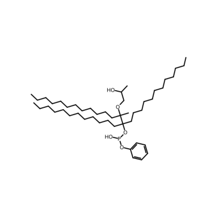 CCCCCCCCCCCCC(C)(OCC(C)O)C(CCCCCCCCCCCC)(CCCCCCCCCCCC)OP(O)Oc1ccccc1